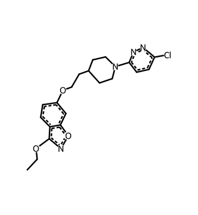 CCOc1noc2cc(OCCC3CCN(c4ccc(Cl)nn4)CC3)ccc12